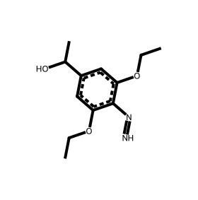 CCOc1cc(C(C)O)cc(OCC)c1N=N